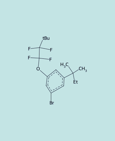 CCC(C)(C)c1cc(Br)cc(OC(F)(F)C(F)(F)C(C)(C)C)c1